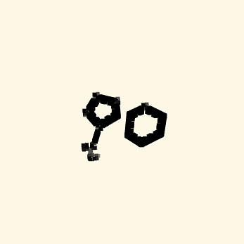 Cn1cnnn1.[Cu].c1ccncc1